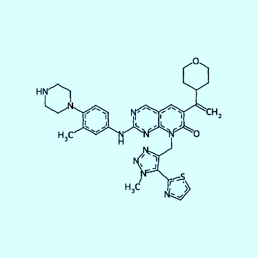 C=C(c1cc2cnc(Nc3ccc(N4CCNCC4)c(C)c3)nc2n(Cc2nnn(C)c2-c2nccs2)c1=O)C1CCOCC1